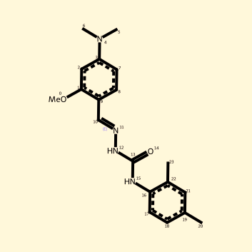 COc1cc(N(C)C)ccc1/C=N/NC(=O)Nc1ccc(C)cc1C